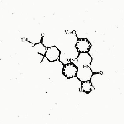 COc1ccc(CNC(=O)c2ncoc2-c2ccc(N3CCN(C(=O)OC(C)(C)C)C(C)(C)C3)cc2)c(OC)c1